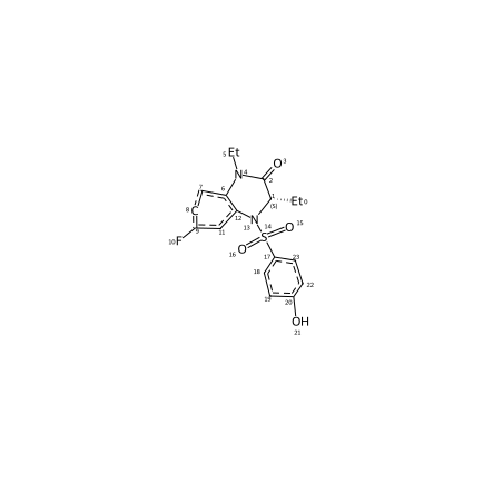 CC[C@H]1C(=O)N(CC)c2ccc(F)cc2N1S(=O)(=O)c1ccc(O)cc1